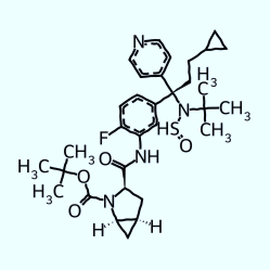 CC(C)(C)OC(=O)N1[C@@H](C(=O)Nc2cc([C@](CCC3CC3)(c3ccncc3)N([SH]=O)C(C)(C)C)ccc2F)C[C@H]2C[C@H]21